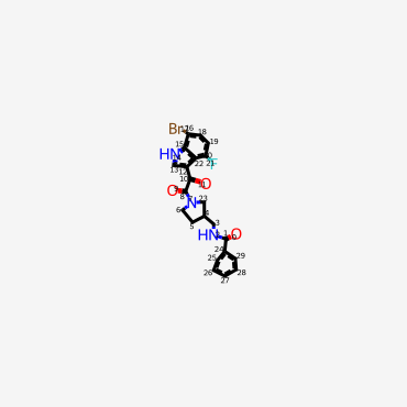 O=C(NCC1CCN(C(=O)C(=O)c2c[nH]c3c(Br)ccc(F)c23)C1)c1ccccc1